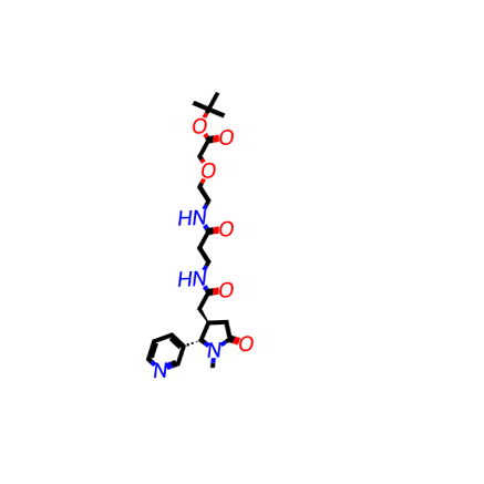 CN1C(=O)C[C@H](CC(=O)NCCC(=O)NCCOCC(=O)OC(C)(C)C)[C@H]1c1cccnc1